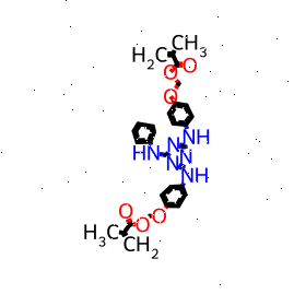 C=C(C)C(=O)OCOc1ccc(Nc2nc(Nc3ccccc3)nc(Nc3ccc(OCOC(=O)C(=C)C)cc3)n2)cc1